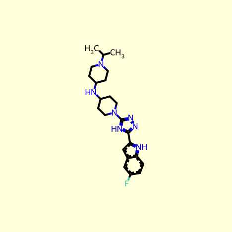 CC(C)N1CCC(NC2CCN(c3nnc(-c4cc5cc(F)ccc5[nH]4)[nH]3)CC2)CC1